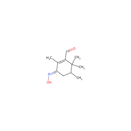 CC1=C(C=O)C(C)(C)C(C)CC1=NO